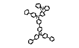 C1=CC(c2ccc(N(c3ccc(-c4ccc(N(c5ccc(-c6ccccc6)cc5)c5ccc(-c6ccccc6)cc5)cc4)cc3)c3ccc4c5ccccc5n(-c5ccccc5)c4c3)cc2)=CCC1